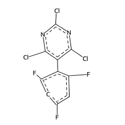 Fc1cc(F)c(-c2c(Cl)nc(Cl)nc2Cl)c(F)c1